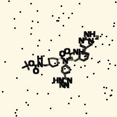 CC(C)(C)OC(=O)NC[C@H]1CC[C@H](C(=O)N(c2ccc(-c3nnn[nH]3)cc2)[C@@H](Cc2cccc(-c3cnc(N)nc3)c2)C(N)=O)CC1